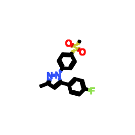 Cc1cc(-c2ccc(F)cc2)n(-c2ccc(S(C)(=O)=O)cc2)n1